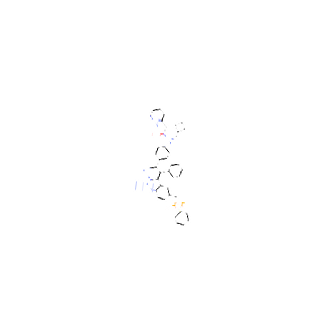 O=C(Cc1ccccn1)N(CC1CCC1)c1ccc(-c2cnc3[nH]c4ccc(CS(=O)(=O)c5ccccc5)cc4c3c2-c2ccccc2)cc1